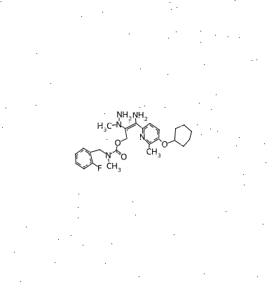 Cc1nc(/C(N)=C(\COC(=O)N(C)Cc2ccccc2F)N(C)N)ccc1OC1CCCCC1